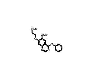 COCCOc1cc2ncnc(Oc3cc[c]cc3)c2cc1OC